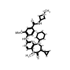 COc1cc(C(=O)NC2CN(C)C2)ccc1Nc1ncc2c(n1)N(C1CCCCC1)CC(C1CC1)C(=O)N2C